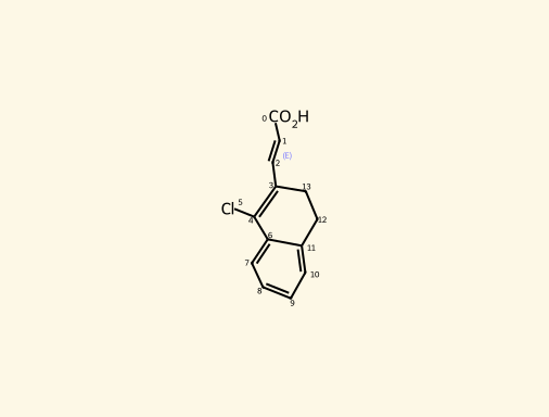 O=C(O)/C=C/C1=C(Cl)c2ccccc2CC1